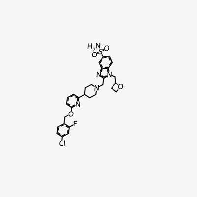 NS(=O)(=O)c1ccc2c(c1)nc(CN1CCC(c3cccc(OCc4ccc(Cl)cc4F)n3)CC1)n2CC1CCO1